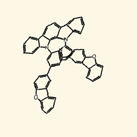 c1ccc(-n2c3ccccc3c3ccc4c5ccccc5n(-c5cc(-c6ccc7oc8ccccc8c7c6)cc(-c6ccc7oc8ccccc8c7c6)n5)c4c32)cc1